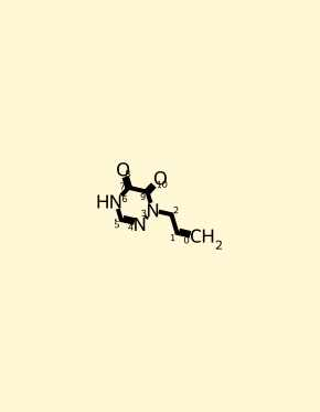 C=CCn1n[c][nH]c(=O)c1=O